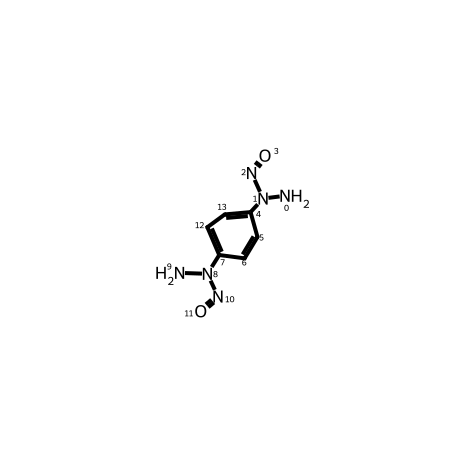 NN(N=O)c1ccc(N(N)N=O)cc1